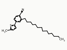 CCCCCCCCCCCCCCc1cc(-c2ccc(C)s2)ccc1C#N